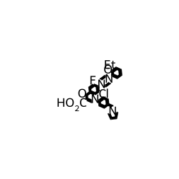 CCOc1ccccc1N1CCN(c2c(F)cc3c(=O)c(C(=O)O)cn(-c4ccc(CN5CCCC5)cc4)c3c2Cl)CC1